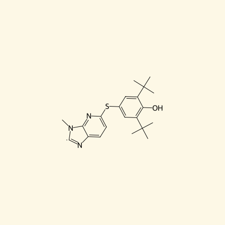 Cn1[c]nc2ccc(Sc3cc(C(C)(C)C)c(O)c(C(C)(C)C)c3)nc21